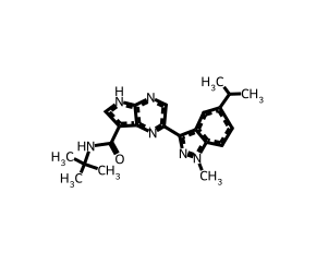 CC(C)c1ccc2c(c1)c(-c1cnc3[nH]cc(C(=O)NC(C)(C)C)c3n1)nn2C